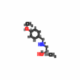 COc1ccc(CNC[C@H](C)O)cc1